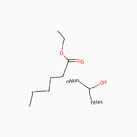 CCCCCC(=O)OCC.CCCCCCCCCC(O)CCCCCC